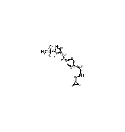 CC(C)(C)n1cc(NC(=O)c2ccc(C3CC3NCC3CC3)cc2)cn1